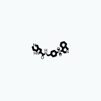 O=C(NCc1ccc(S(=O)(=O)c2cncc3ccccc23)cc1)c1cc2cnccc2[nH]1